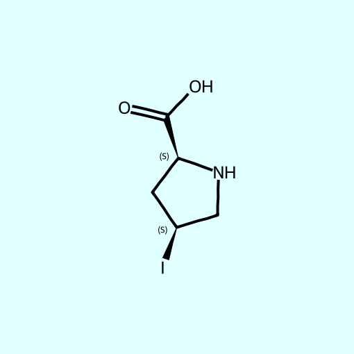 O=C(O)[C@@H]1C[C@H](I)CN1